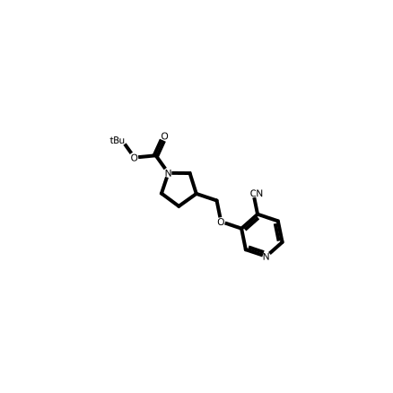 CC(C)(C)OC(=O)N1CCC(COc2cnccc2C#N)C1